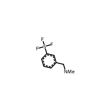 CNCc1cccc(S(F)(F)F)c1